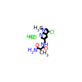 C[C@@H](C(N)=O)C(=O)NCc1cnc2c(c1)c(Cl)cn2C.Cl.Cl